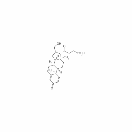 C[C@]12CC[C@H]3[C@@H](CCC4=CC(=O)C=C[C@@]43C)[C@@H]1C[C@@H](CO)[C@@H]2C(=O)CCC(=O)O